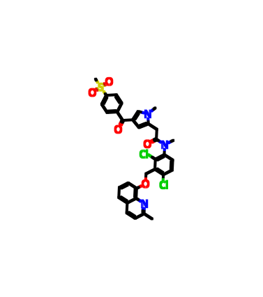 Cc1ccc2cccc(OCc3c(Cl)ccc(N(C)C(=O)Cc4cc(C(=O)c5ccc(S(C)(=O)=O)cc5)cn4C)c3Cl)c2n1